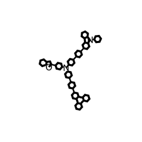 c1ccc(-n2c3ccccc3c3cc(-c4ccc(-c5ccc(N(c6ccc(-c7ccc(-c8ccc9c%10ccccc%10c%10ccccc%10c9c8)cc7)cc6)c6ccc(-c7cc8ccccc8o7)cc6)cc5)cc4)ccc32)cc1